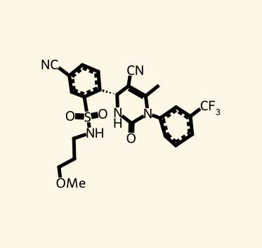 COCCCNS(=O)(=O)c1cc(C#N)ccc1[C@H]1NC(=O)N(c2cccc(C(F)(F)F)c2)C(C)=C1C#N